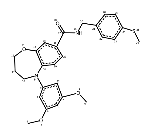 COc1cc(OC)cc(N2CCCOc3cc(C(=O)NCc4ccc(SC)cc4)ccc32)c1